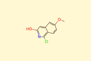 COc1ccc2c(Cl)nc(O)cc2c1